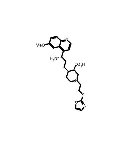 COc1ccc2nccc([C@@H](N)CC[C@@H]3CCN(CCSc4nccs4)C[C@@H]3C(=O)O)c2c1